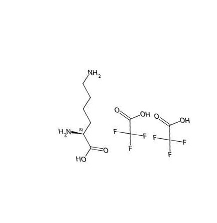 NCCCC[C@H](N)C(=O)O.O=C(O)C(F)(F)F.O=C(O)C(F)(F)F